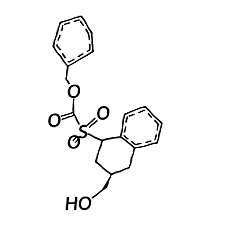 O=C(OCc1ccccc1)S(=O)(=O)C1C[C@H](CO)Cc2ccccc21